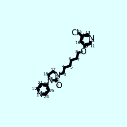 O=C1N(CCCCCCOc2cncc(Cl)c2)CCN1c1ccncc1